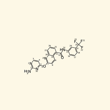 Nc1nccc(Oc2ccc3c(C(=O)Nc4cccc(C(F)(F)F)c4)cccc3n2)n1